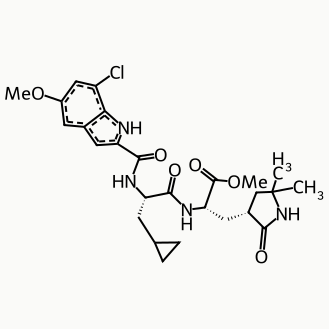 COC(=O)[C@H](C[C@@H]1CC(C)(C)NC1=O)NC(=O)[C@H](CC1CC1)NC(=O)c1cc2cc(OC)cc(Cl)c2[nH]1